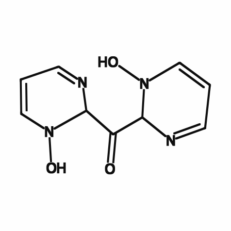 O=C(C1N=CC=CN1O)C1N=CC=CN1O